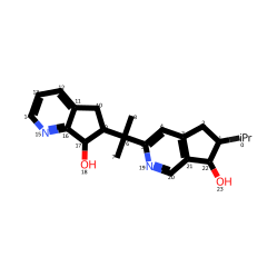 CC(C)C1Cc2cc(C(C)(C)C3Cc4cccnc4C3O)ncc2C1O